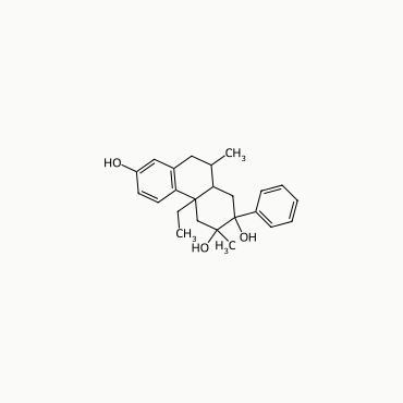 CCC12CC(C)(O)C(O)(c3ccccc3)CC1C(C)Cc1cc(O)ccc12